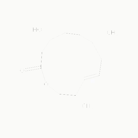 C[C@@H]1C/C=C/[C@H](C)COC(=O)C[C@H](O)CC1